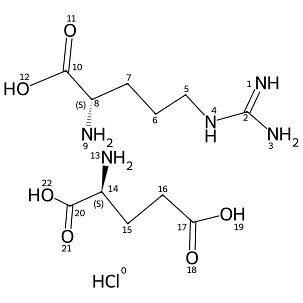 Cl.N=C(N)NCCC[C@H](N)C(=O)O.N[C@@H](CCC(=O)O)C(=O)O